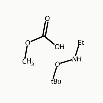 CCNOC(C)(C)C.COC(=O)O